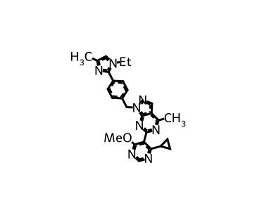 CCn1cc(C)nc1-c1ccc(Cn2ncc3c(C)nc(-c4c(OC)ncnc4C4CC4)nc32)cc1